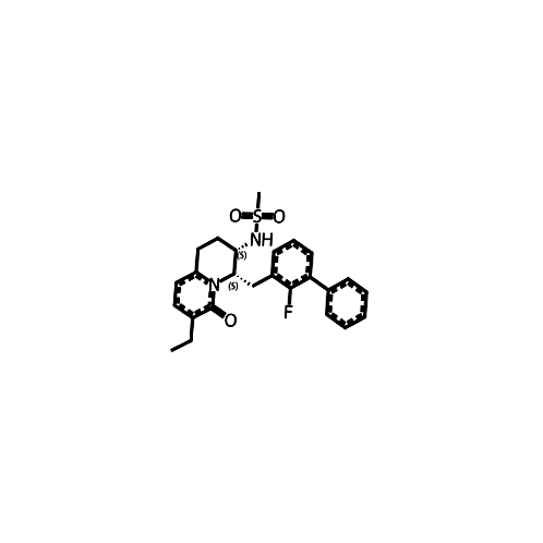 CCc1ccc2n(c1=O)[C@@H](Cc1cccc(-c3ccccc3)c1F)[C@@H](NS(C)(=O)=O)CC2